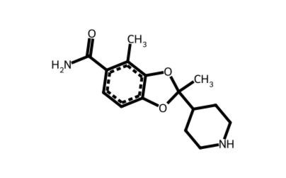 Cc1c(C(N)=O)ccc2c1OC(C)(C1CCNCC1)O2